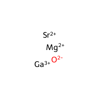 [Ga+3].[Mg+2].[O-2].[Sr+2]